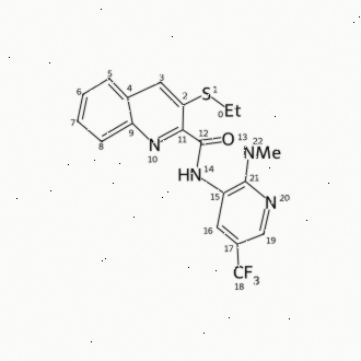 CCSc1cc2ccccc2nc1C(=O)Nc1cc(C(F)(F)F)cnc1NC